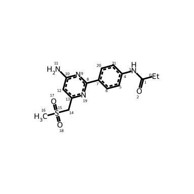 CCC(=O)Nc1ccc(-c2nc(N)cc(CS(C)(=O)=O)n2)cc1